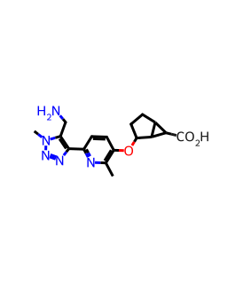 Cc1nc(-c2nnn(C)c2CN)ccc1OC1CCC2C(C(=O)O)C12